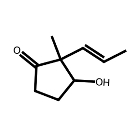 CC=CC1(C)C(=O)CCC1O